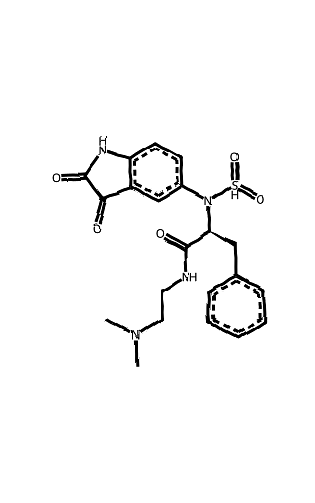 CN(C)CCNC(=O)[C@H](Cc1ccccc1)N(c1ccc2c(c1)C(=O)C(=O)N2)[SH](=O)=O